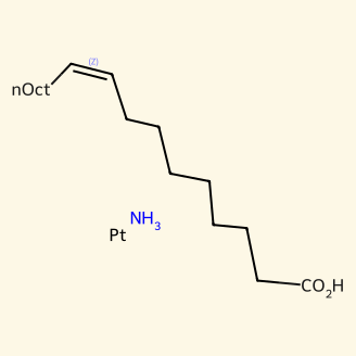 CCCCCCCC/C=C\CCCCCCCC(=O)O.N.[Pt]